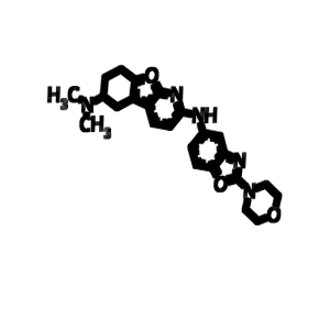 CN(C)C1CCc2oc3nc(Nc4ccc5oc(N6CCOCC6)nc5c4)ccc3c2C1